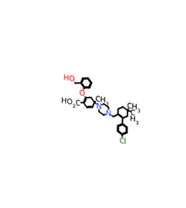 CC1(C)CCC(CN2CCN(C3(C)C=CC(C(=O)O)=C(Oc4ccccc4CO)C3)CC2)=C(c2ccc(Cl)cc2)C1